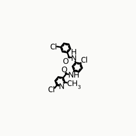 Cc1nc(Cl)ccc1C(=O)Nc1ccc(Cl)c(NC(=O)c2cccc(Cl)c2)c1